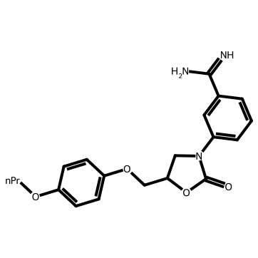 CCCOc1ccc(OCC2CN(c3cccc(C(=N)N)c3)C(=O)O2)cc1